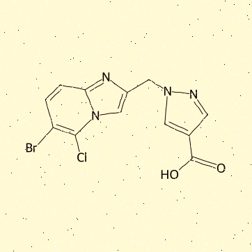 O=C(O)c1cnn(Cc2cn3c(Cl)c(Br)ccc3n2)c1